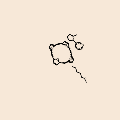 C1=Cc2cc3ccc(cc4nc(cc5ccc(cc1n2)[nH]5)C=C4)[nH]3.CCCCCOC.CN1CCCC1c1cccnc1